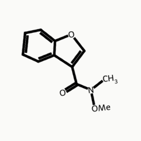 CON(C)C(=O)c1coc2ccccc12